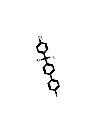 Cc1ccc(C(C)(C)c2ccc(-c3ccc(Br)cc3)cc2)cc1